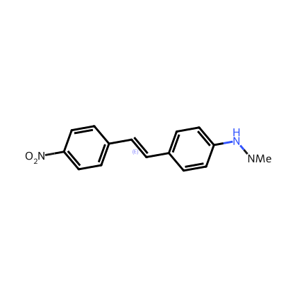 CNNc1ccc(/C=C/c2ccc([N+](=O)[O-])cc2)cc1